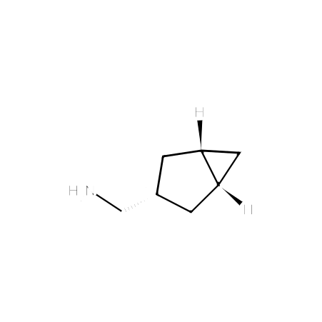 NC[C@@H]1C[C@@H]2C[C@@H]2C1